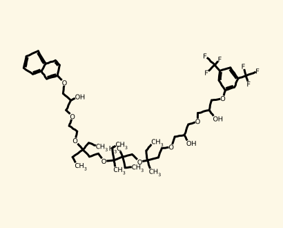 CCC(C)(CCOCC(O)COCC(O)COc1cc(C(F)(F)F)cc(C(F)(F)F)c1)OCC(C)(CC)C(C)(CC)OCCC(CC)(CC)OCCOCC(O)COc1ccc2ccccc2c1